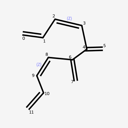 C=C/C=C\C(=C)C(=C)/C=C\C=C